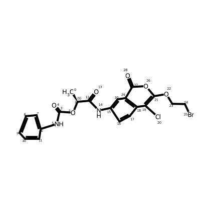 C[C@H](OC(=O)Nc1ccccc1)C(=O)Nc1ccc2c(Cl)c(OCCBr)oc(=O)c2c1